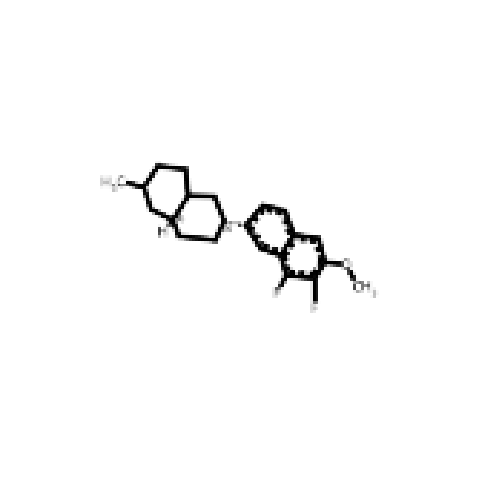 COc1cc2ccc([C@@H]3CC[C@@H]4CC(C)CCC4C3)cc2c(F)c1F